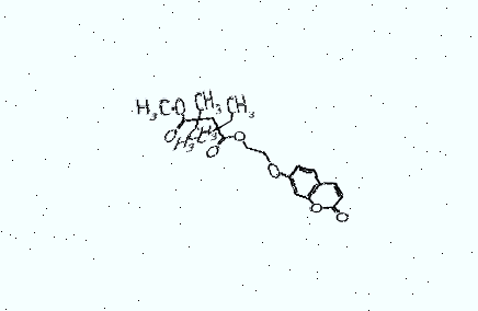 CCC(C)(CC(C)(C)C(=O)OC)C(=O)OCCOc1ccc2ccc(=O)oc2c1